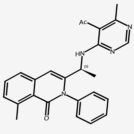 CC(=O)c1c(C)ncnc1N[C@@H](C)c1cc2cccc(C)c2c(=O)n1-c1ccccc1